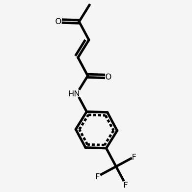 CC(=O)/C=C/C(=O)Nc1ccc(C(F)(F)F)cc1